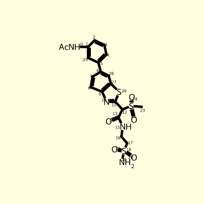 CC(=O)Nc1cccc(-c2ccc3nc(C(C(=O)NCCS(N)(=O)=O)S(C)(=O)=O)sc3c2)c1